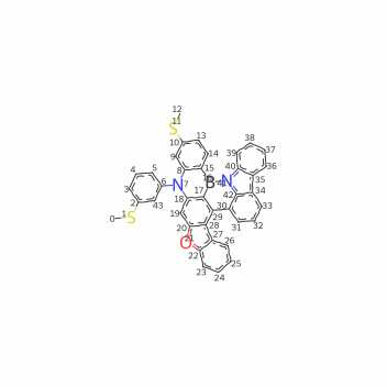 CSc1cccc(N2c3cc(SC)ccc3B3c4c2cc2oc5ccccc5c2c4-c2cccc4c5ccccc5n3c24)c1